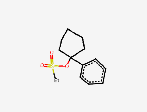 CCS(=O)(=O)OC1(c2ccccc2)CCCCC1